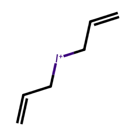 C=CC[I+]CC=C